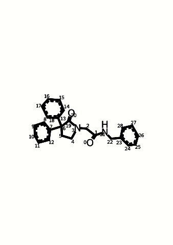 O=C(CN1CCC(c2ccccc2)(c2ccccc2)C1=O)NCc1ccccc1